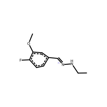 CCN/N=C/c1ccc(F)c(OC)c1